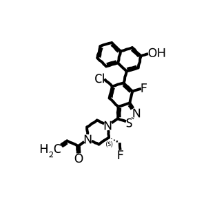 C=CC(=O)N1CCN(c2snc3c(F)c(-c4cc(O)cc5ccccc45)c(Cl)cc23)[C@H](CF)C1